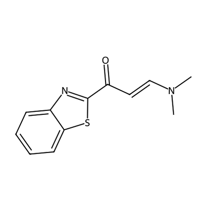 CN(C)/C=C/C(=O)c1nc2ccccc2s1